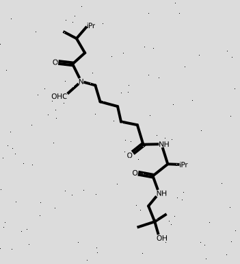 CC(C)C(C)CC(=O)N(C=O)CCCCCC(=O)NC(C(=O)NCC(C)(C)O)C(C)C